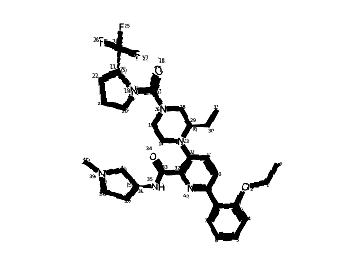 CCOc1ccccc1-c1ccc(N2CCN(C(=O)N3CCC[C@H]3C(F)(F)F)C[C@H]2CC)c(C(=O)N[C@H]2CCN(C)C2)n1